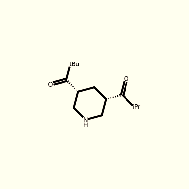 CC(C)C(=O)[C@@H]1CNC[C@H](C(=O)C(C)(C)C)C1